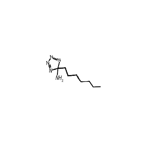 CCCCCCCC1(N)N=NN=N1